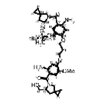 COc1cc(C(=O)N2CC3(CC3)C[C@H]2CO)c(N)cc1OCCCOc1cc(N)c(C(=O)N2CC3(CC3)C[C@H]2CO[Si](C)(C)C(C)(C)C)cc1OC